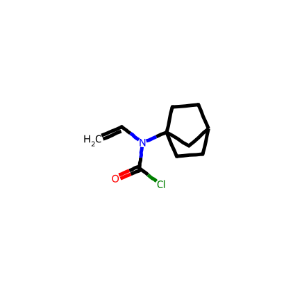 C=CN(C(=O)Cl)C12CCC(CC1)C2